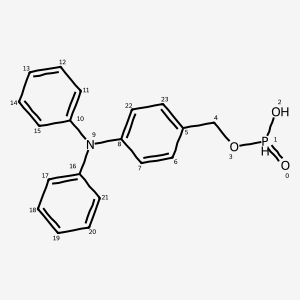 O=[PH](O)OCc1ccc(N(c2ccccc2)c2ccccc2)cc1